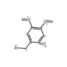 COc1ccc([CH2][Zn])cc1OC.Cl